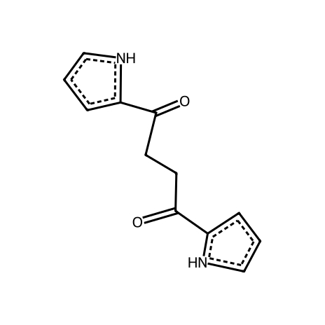 O=C(CCC(=O)c1ccc[nH]1)c1ccc[nH]1